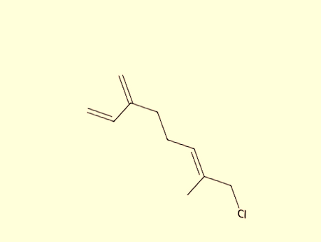 C=CC(=C)CC/C=C(\C)CCl